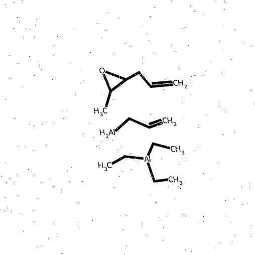 C=CCC1OC1C.C=C[CH2][AlH2].C[CH2][Al]([CH2]C)[CH2]C